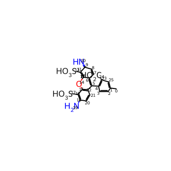 Cc1ccc(-c2c3ccc(=N)c(S(=O)(=O)O)c-3oc3c(S(=O)(=O)O)c(N)ccc23)c(C(=O)O)c1